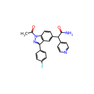 CC(=O)n1nc(-c2ccc(F)cc2)c2cc(C(C(N)=O)c3ccncc3)ccc21